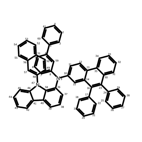 c1ccc(-c2cccc(N(c3ccc4c(c3)c(-c3ccccc3)c(-c3ccccc3)c3ccccc34)c3cccc4c5ccccc5n(-c5ccc6ccccc6c5)c34)c2)cc1